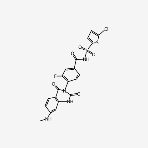 CNc1ccc2c(=O)n(-c3ccc(C(=O)NS(=O)(=O)c4ccc(Cl)s4)cc3F)c(=O)[nH]c2c1